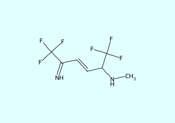 CNC(C=CC(=N)C(F)(F)F)C(F)(F)F